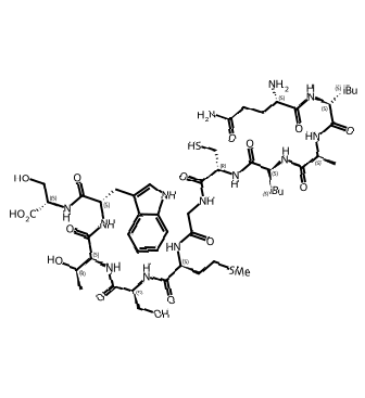 CC[C@H](C)[C@H](NC(=O)[C@H](C)NC(=O)[C@@H](NC(=O)[C@@H](N)CCC(N)=O)[C@@H](C)CC)C(=O)N[C@@H](CS)C(=O)NCC(=O)N[C@@H](CCSC)C(=O)N[C@@H](CO)C(=O)N[C@H](C(=O)N[C@@H](Cc1c[nH]c2ccccc12)C(=O)N[C@@H](CO)C(=O)O)[C@@H](C)O